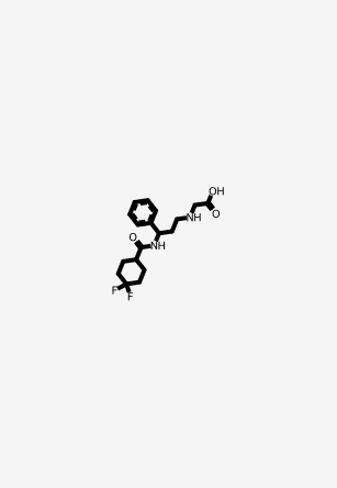 O=C(O)CNCCC(NC(=O)C1CCC(F)(F)CC1)c1ccccc1